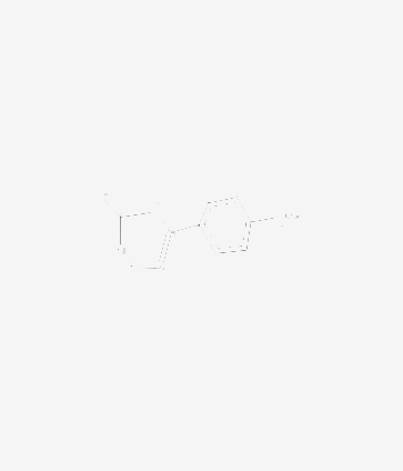 CSc1ccc(/C(=N/N)SC(C)N)cc1